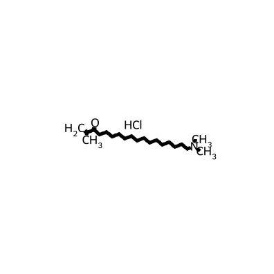 C=C(C)C(=O)CCCCCCCCCCCCCCCN(C)C.Cl